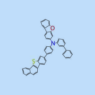 c1ccc(-c2cccc(N(c3ccc(-c4ccc5c(c4)sc4c6ccccc6ccc54)cc3)c3ccc4c(c3)oc3ccccc34)c2)cc1